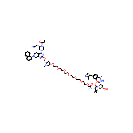 C=CC(=O)N1CCN(c2nc(OC[C@@H]3C[C@@H](OCCOCCOCCOCCOCCOCCOCC(=O)N[C@H](C(=O)N4C[C@H](O)C[C@H]4C(=O)N[C@@H](C)c4ccc(-c5scnc5C)cc4)C(C)(C)C)CN3C)nc3c2CCN(c2cccc4ccccc24)C3)C[C@@H]1CC#N